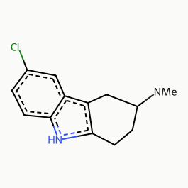 CNC1CCc2[nH]c3ccc(Cl)cc3c2C1